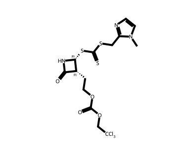 Cn1ccnc1CSC(=S)S[C@H]1NC(=O)[C@H]1CCOC(=O)OCC(Cl)(Cl)Cl